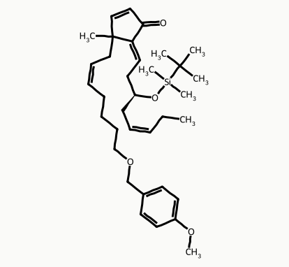 CC/C=C\C[C@@H](C/C=C1/C(=O)C=CC1(C)C/C=C\CCCCOCc1ccc(OC)cc1)O[Si](C)(C)C(C)(C)C